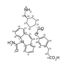 NC(=O)N1c2ccccc2C=Cc2ccccc21.NC[C@H]1CC[C@H](C(=O)Oc2ccc(CCC(=O)O)cc2)CC1